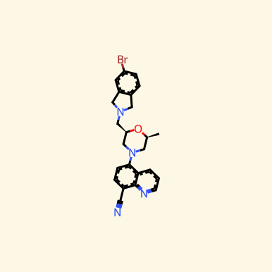 C[C@H]1CN(c2ccc(C#N)c3ncccc23)C[C@@H](CN2Cc3ccc(Br)cc3C2)O1